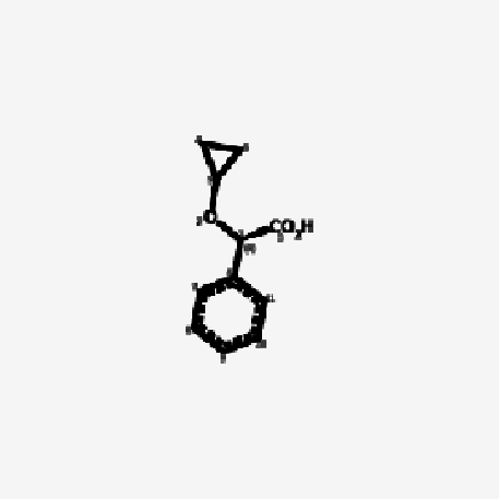 O=C(O)[C@H](OC1CC1)c1ccccc1